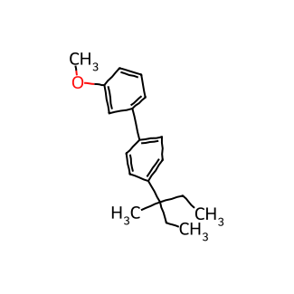 CCC(C)(CC)c1ccc(-c2cccc(OC)c2)cc1